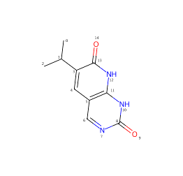 CC(C)c1cc2cnc(=O)[nH]c2[nH]c1=O